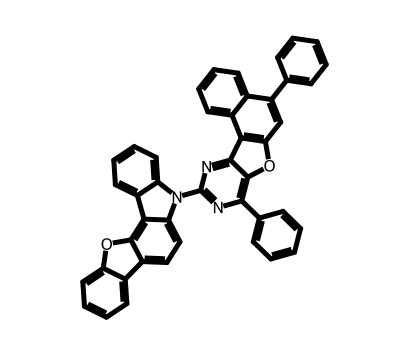 c1ccc(-c2cc3oc4c(-c5ccccc5)nc(-n5c6ccccc6c6c7oc8ccccc8c7ccc65)nc4c3c3ccccc23)cc1